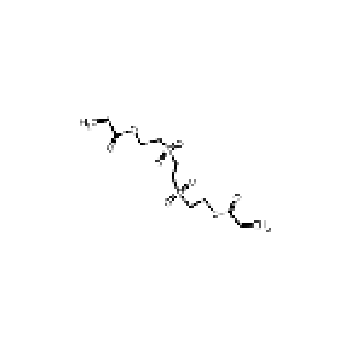 C=CC(=O)OCCS(=O)(=O)CCS(=O)(=O)CCOC(=O)C=C